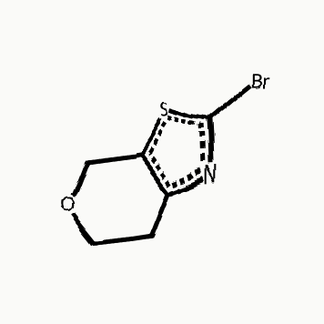 Brc1nc2c(s1)COCC2